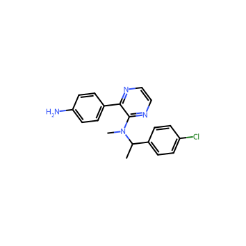 CC(c1ccc(Cl)cc1)N(C)c1nccnc1-c1ccc(N)cc1